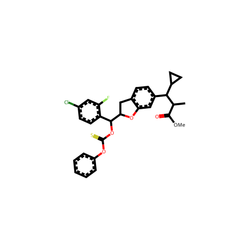 COC(=O)C(C)C(c1ccc2c(c1)OC(C(OC(=S)Oc1ccccc1)c1ccc(Cl)cc1F)C2)C1CC1